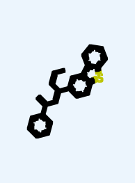 C=C(/C=C(\C=C/C)c1ccc2sc3ccccc3c2c1)c1ccccc1